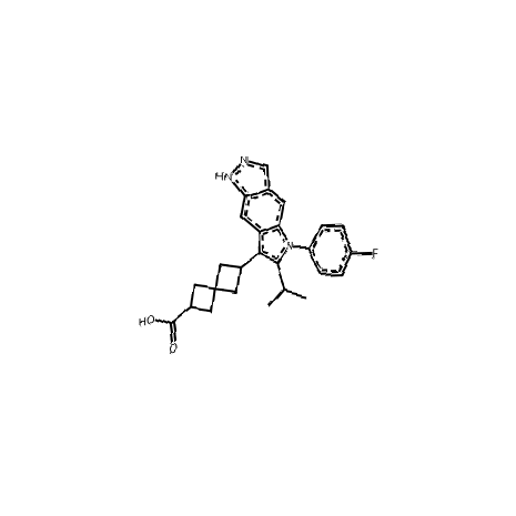 CC(C)c1c(C2CC3(CC(C(=O)O)C3)C2)c2cc3[nH]ncc3cc2n1-c1ccc(F)cc1